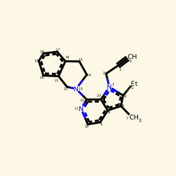 C#CCn1c(CC)c(C)c2ccnc(N3CCc4ccccc4C3)c21